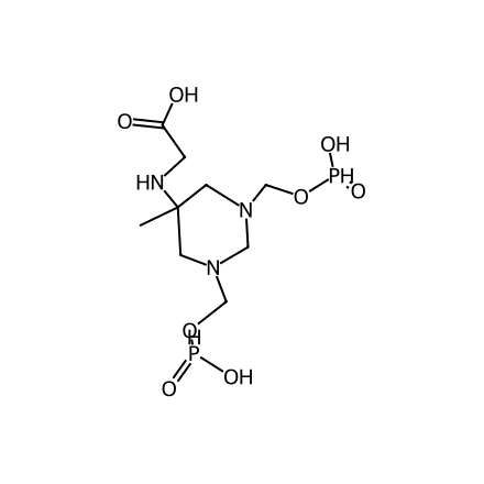 CC1(NCC(=O)O)CN(CO[PH](=O)O)CN(CO[PH](=O)O)C1